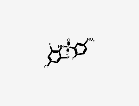 O=[N+]([O-])c1ccc(F)c(S(=O)(=O)Nc2c(F)cc(Cl)cc2F)c1